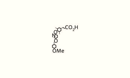 COc1ccc(COc2ccc(Oc3c(C)cc(C=CC(=O)O)cc3C)nc2)cc1